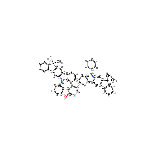 CC1(C)c2ccccc2-c2cc3c(cc21)c1ccccc1n3-c1cccc2oc3ccc(-c4ccc5c(c4)c4cc6c(cc4n5-c4ccccc4)C(C)(C)c4ccccc4-6)cc3c12